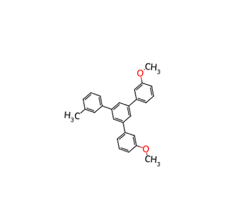 COc1cccc(-c2cc(-c3cccc(C)c3)cc(-c3cccc(OC)c3)c2)c1